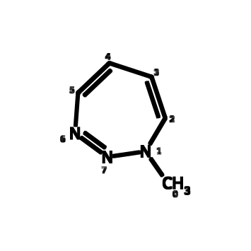 CN1C=CC=CN=N1